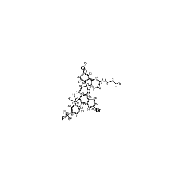 CCCCOc1ccc(C2(c3ccc(OC)cc3)C=Cc3c4c(c5cc(Br)ccc5c3O2)-c2ccc(C(F)(F)F)cc2C4(C)C)cc1